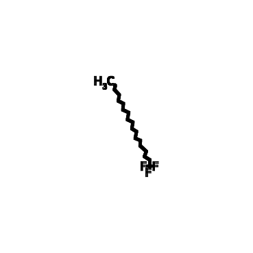 CCCCCCCCCCCCCCCCCCC(F)(F)F